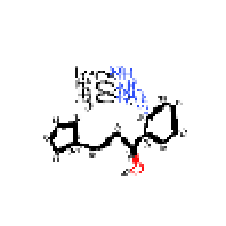 CN.CN.CN.O=C(CCC1=CC=CC1)c1ccccc1